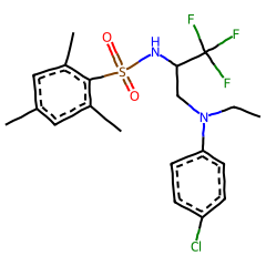 CCN(CC(NS(=O)(=O)c1c(C)cc(C)cc1C)C(F)(F)F)c1ccc(Cl)cc1